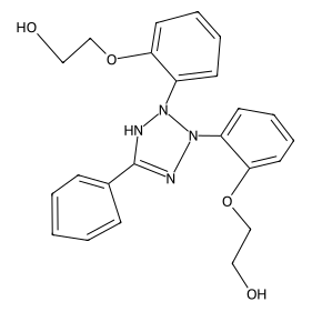 OCCOc1ccccc1N1N=C(c2ccccc2)NN1c1ccccc1OCCO